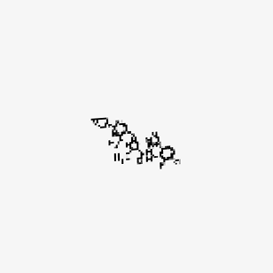 Cc1nc(N2CC3CC3C2)ncc1Cn1cc(C(=O)NCc2c(-n3cnnn3)ccc(Cl)c2F)c(C)n1